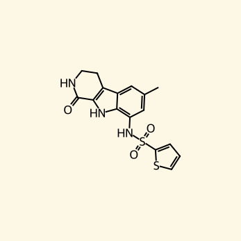 Cc1cc(NS(=O)(=O)c2cccs2)c2[nH]c3c(c2c1)CCNC3=O